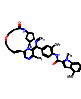 C=N/C(=C1/C(C)=NC=C2/C=C/CCOCCC(=O)N[C@@H]3CC[C@H](C3)N21)c1ccc(NC(=O)c2cc3c(OC)cccc3n2C)c(OC)c1